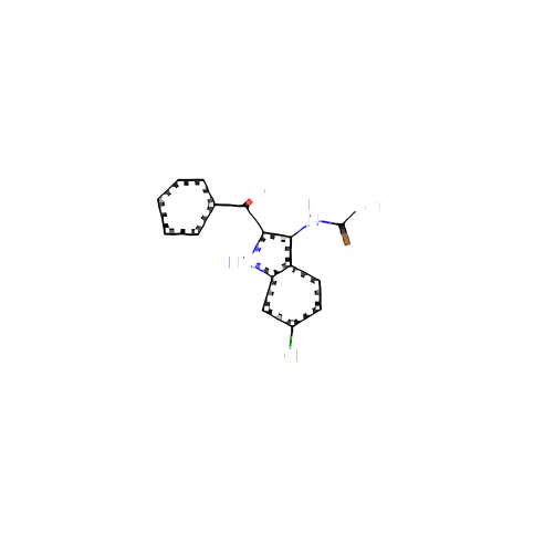 CCCC(=S)Nc1c(C(=O)c2ccccc2)[nH]c2cc(Cl)ccc12